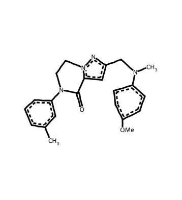 COc1ccc(N(C)Cc2cc3n(n2)CCN(c2cccc(C)c2)C3=O)cc1